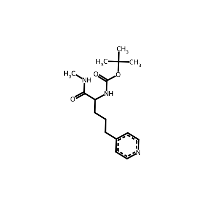 CNC(=O)C(CCCc1ccncc1)NC(=O)OC(C)(C)C